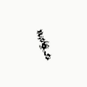 CNc1cc(OCCN2CCOCC2)c(OC)cc1C(=N)N1CCN(C(=S)NCc2cnc(C)cn2)CC1